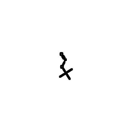 C[Si](C)(C)OP=O